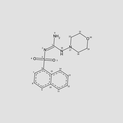 NC(=NS(=O)(=O)c1cccc2ccccc12)NN1CCOCC1